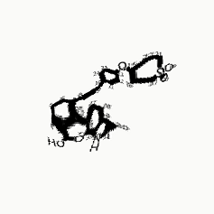 O=C(O)c1cccc(C#Cc2ccc(OC3CCS(=O)(=O)CC3)cc2)c1-c1ccc2cc[nH]c2c1